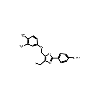 COc1ccc(-c2nc(CI)c(COc3ccc(C#N)c(C)c3)o2)cc1